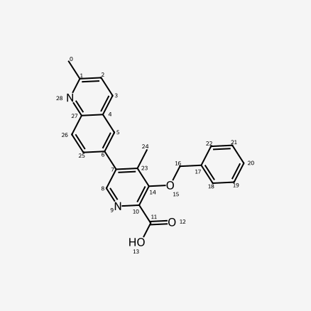 Cc1ccc2cc(-c3cnc(C(=O)O)c(OCc4ccccc4)c3C)ccc2n1